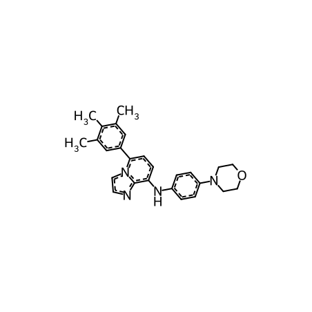 Cc1cc(-c2ccc(Nc3ccc(N4CCOCC4)cc3)c3nccn23)cc(C)c1C